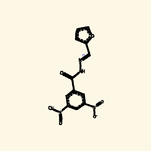 O=C(N/N=C/c1ccco1)c1cc([N+](=O)[O-])cc([N+](=O)[O-])c1